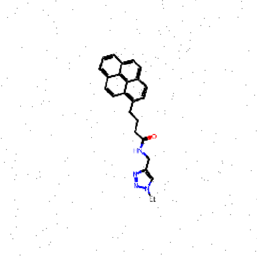 CCn1cc(CNC(=O)CCCc2ccc3ccc4cccc5ccc2c3c45)nn1